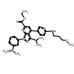 CCOC(=O)c1cc(-c2ccc(NCCCOC)nc2)c2c(C(C)C)nn(-c3cccc(N(C)C)c3)c2n1